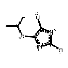 CC(C)Oc1[nH]c(Cl)nc1Cl